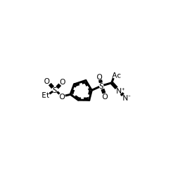 CCS(=O)(=O)Oc1ccc(S(=O)(=O)C(=[N+]=[N-])C(C)=O)cc1